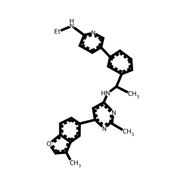 CCNc1ccc(-c2cccc(C(C)Nc3cc(-c4ccc5occ(C)c5c4)nc(C)n3)c2)cn1